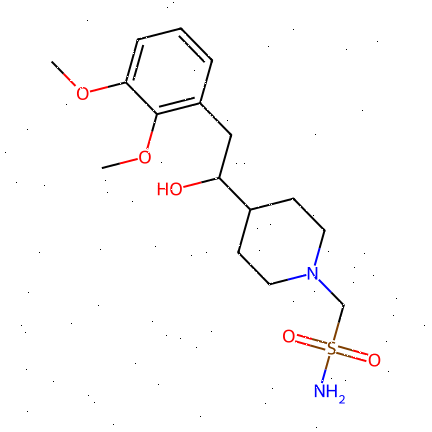 COc1cccc(CC(O)C2CCN(CS(N)(=O)=O)CC2)c1OC